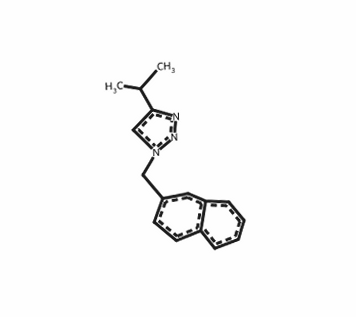 CC(C)c1cn(Cc2ccc3ccccc3c2)nn1